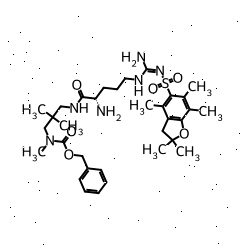 Cc1c(C)c(S(=O)(=O)/N=C(/N)NCCC[C@H](N)C(=O)NCC(C)(C)CN(C)C(=O)OCc2ccccc2)c(C)c2c1OC(C)(C)C2